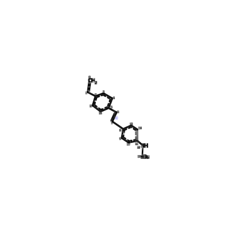 C=Cc1ccc(/C=C/c2ccc(NCCCC)cc2)cc1